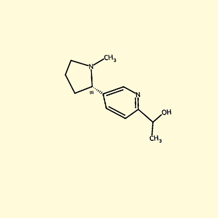 CC(O)c1ccc([C@@H]2CCCN2C)cn1